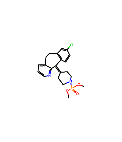 COP(=O)(OC)N1CCC(=C2c3ccc(Cl)cc3CCc3cccnc32)CC1